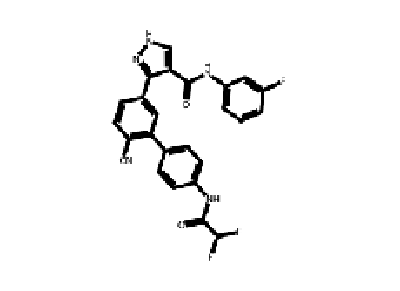 N#Cc1ccc(-c2n[nH]cc2C(=O)Nc2cccc(F)c2)cc1-c1ccc(NC(=O)C(F)F)cc1